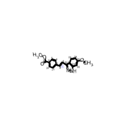 COC(=O)c1ccc(/C=C/c2n[nH]c3cc(OC)ccc23)cc1